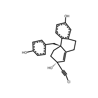 Oc1ccc(C[C@]23CC[C@](O)(C#CCl)C=C2CCc2cc(O)ccc23)cc1